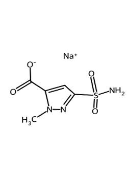 Cn1nc(S(N)(=O)=O)cc1C(=O)[O-].[Na+]